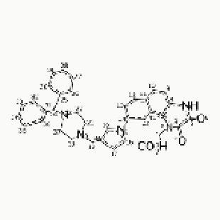 O=C(O)Cn1c(=O)c(=O)[nH]c2ccc3ccc(-n4ccc(CN5CCN(C(c6ccccc6)c6ccccc6)CC5)c4)cc3c21